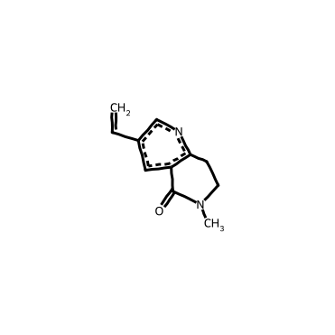 C=Cc1cnc2c(c1)C(=O)N(C)CC2